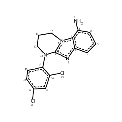 Nc1cccc2nc3n(c12)CCCN3c1ccc(Cl)cc1Cl